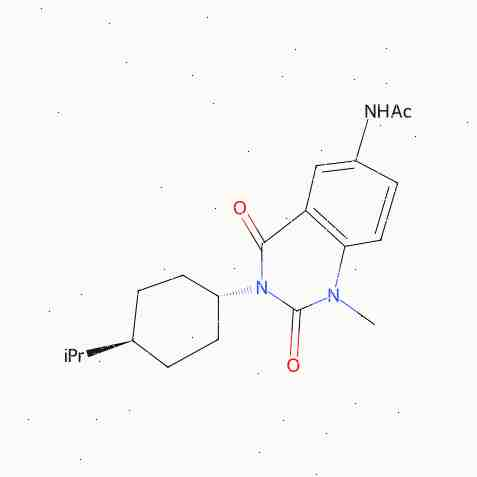 CC(=O)Nc1ccc2c(c1)c(=O)n([C@H]1CC[C@H](C(C)C)CC1)c(=O)n2C